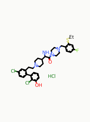 CCSc1cc(F)ccc1CN1CCN(C(=O)C(N)C2CCN(CCc3cc(Cl)ccc3-c3cccc(O)c3Cl)CC2)CC1.Cl